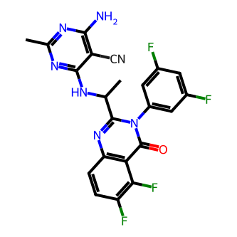 Cc1nc(N)c(C#N)c(NC(C)c2nc3ccc(F)c(F)c3c(=O)n2-c2cc(F)cc(F)c2)n1